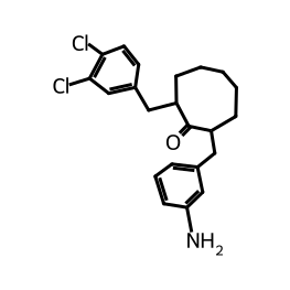 Nc1cccc(CC2CCCCCC(Cc3ccc(Cl)c(Cl)c3)C2=O)c1